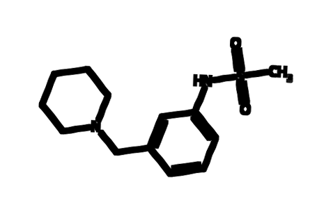 CS(=O)(=O)Nc1cccc(CN2CCCCC2)c1